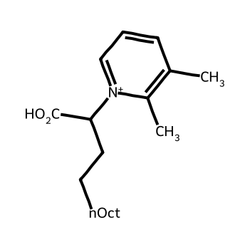 CCCCCCCCCCC(C(=O)O)[n+]1cccc(C)c1C